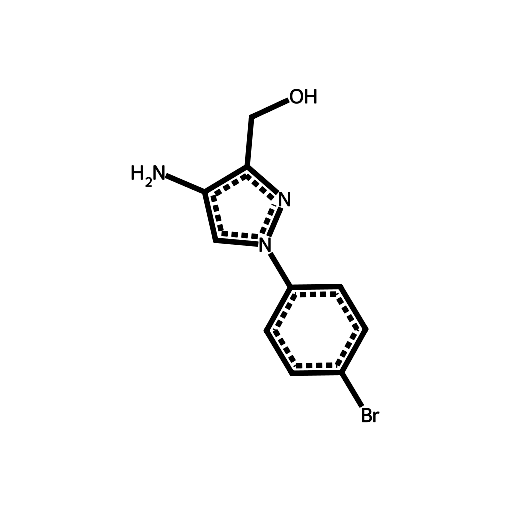 Nc1cn(-c2ccc(Br)cc2)nc1CO